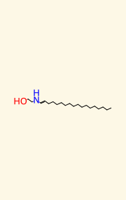 CCCCCCCCCCCCCCCCC=CNCCO